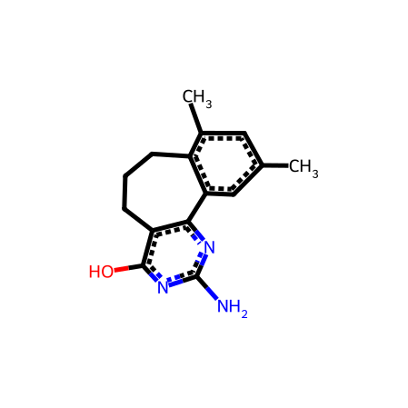 Cc1cc(C)c2c(c1)-c1nc(N)nc(O)c1CCC2